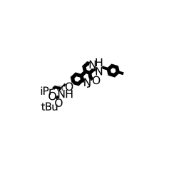 Cc1ccc(CNc2nccc3c2c(=O)n(C)c2cc(OC[C@H](CC(C)C)NC(=O)OC(C)(C)C)ccc32)cc1